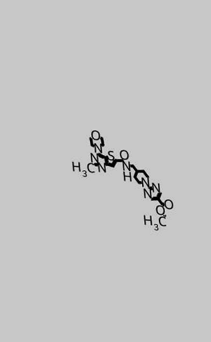 CCOC(=O)c1cnc(N2CCC(CNC(=O)c3cc4nc(C)nc(N5CCOCC5)c4s3)CC2)nc1